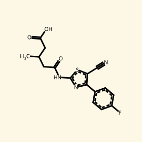 CC(CC(=O)O)CC(=O)Nc1nc(-c2ccc(F)cc2)c(C#N)s1